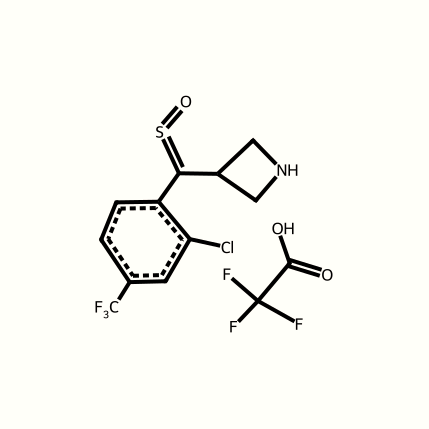 O=C(O)C(F)(F)F.O=S=C(c1ccc(C(F)(F)F)cc1Cl)C1CNC1